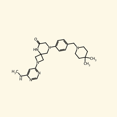 CNc1cc(N2CC3(CN(c4ccc(CN5CCC(C)(C)CC5)cc4)CC(=O)N3)C2)ncn1